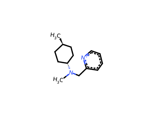 CN(Cc1ccccn1)[C@H]1CC[C@H](C)CC1